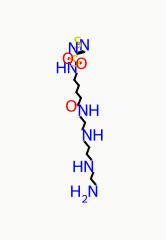 NCCCNCCCCNCCCNC(=O)CCCCCNS(=O)(=O)c1cnsn1